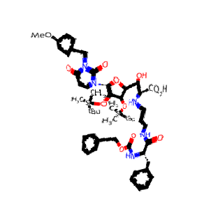 COc1ccc(Cn2c(=O)ccn([C@@H]3OC(C(O)[C@H](NCCCNC(=O)[C@H](Cc4ccccc4)NC(=O)OCc4ccccc4)C(=O)O)C(O[Si](C)(C)C(C)(C)C)C3O[Si](C)(C)C(C)(C)C)c2=O)cc1